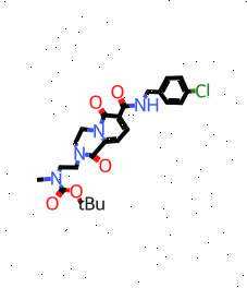 CN(CCN1CCn2c(ccc(C(=O)NCc3ccc(Cl)cc3)c2=O)C1=O)C(=O)OC(C)(C)C